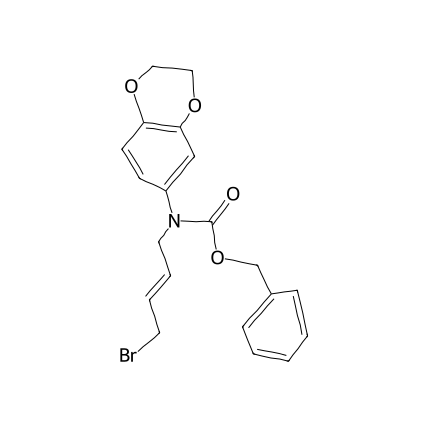 O=C(OCc1ccccc1)N(C/C=C/CBr)c1ccc2c(c1)OCCO2